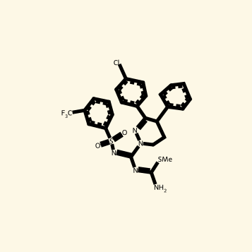 CS/C(N)=N\C(=N\S(=O)(=O)c1cccc(C(F)(F)F)c1)N1CCC(c2ccccc2)C(c2ccc(Cl)cc2)=N1